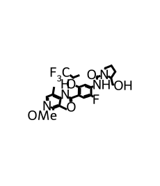 COc1ncc(C)c(NC(=O)c2cc(F)c(NC(=O)N3CCCC3CO)cc2OC(C)C(F)(F)F)c1C